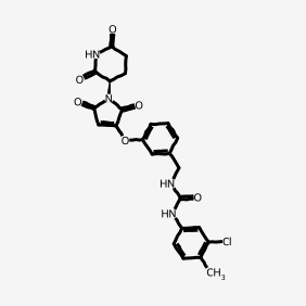 Cc1ccc(NC(=O)NCc2cccc(OC3=CC(=O)N([C@@H]4CCC(=O)NC4=O)C3=O)c2)cc1Cl